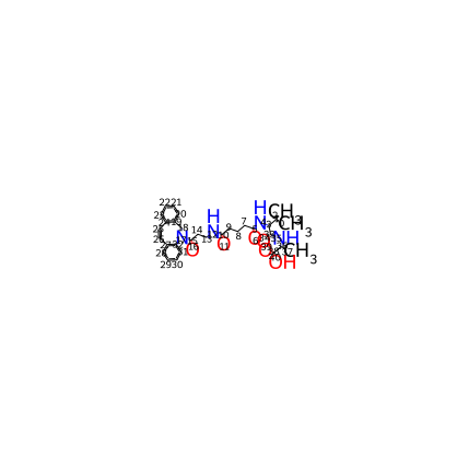 CC(C)C(NC(=O)CCCC(=O)NCCC(=O)N1Cc2ccccc2C#Cc2ccccc21)C(=O)N[C@@H](C)C(=O)O